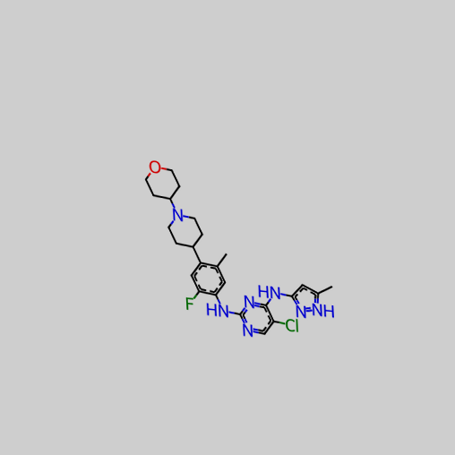 Cc1cc(Nc2nc(Nc3cc(C)c(C4CCN(C5CCOCC5)CC4)cc3F)ncc2Cl)n[nH]1